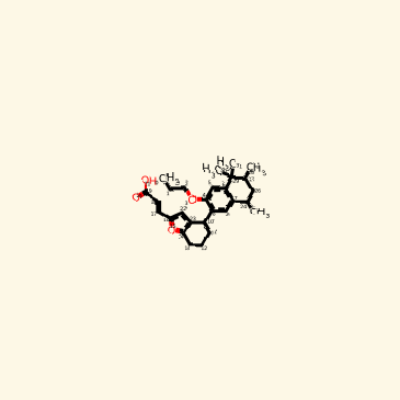 CCCOc1cc2c(cc1C1CCCc3oc(C=CC(=O)O)cc31)C(C)CC(C)C2(C)C